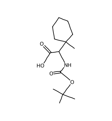 CC(C)(C)OC(=O)NC(C(=O)O)C1(C)CCCCC1